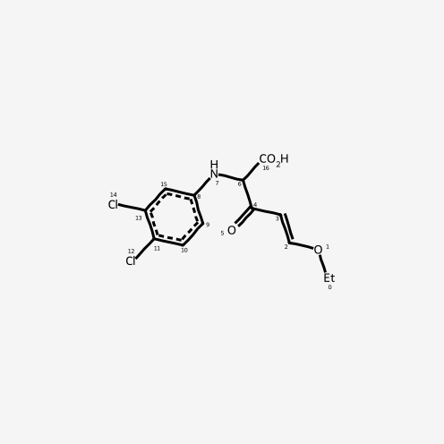 CCOC=CC(=O)C(Nc1ccc(Cl)c(Cl)c1)C(=O)O